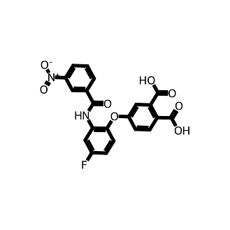 O=C(Nc1cc(F)ccc1Oc1ccc(C(=O)O)c(C(=O)O)c1)c1cccc([N+](=O)[O-])c1